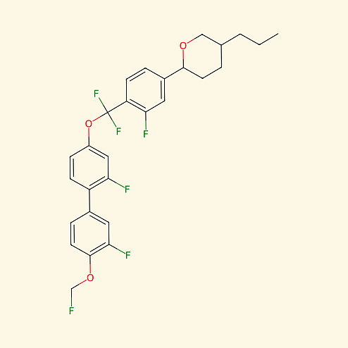 CCCC1CCC(c2ccc(C(F)(F)Oc3ccc(-c4ccc(OCF)c(F)c4)c(F)c3)c(F)c2)OC1